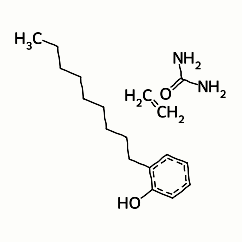 C=C.CCCCCCCCCc1ccccc1O.NC(N)=O